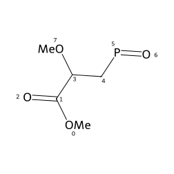 COC(=O)C(CP=O)OC